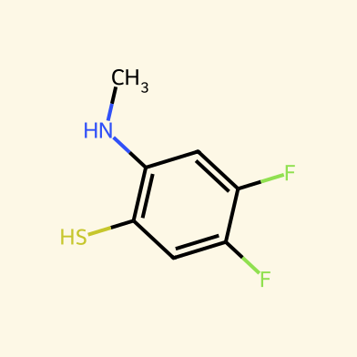 CNc1cc(F)c(F)cc1S